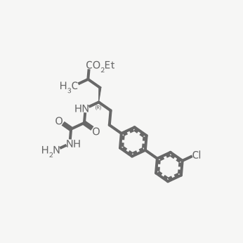 CCOC(=O)C(C)C[C@@H](CCc1ccc(-c2cccc(Cl)c2)cc1)NC(=O)C(=O)NN